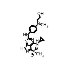 CN(CCO)c1ccc(Nc2nc(NC3CC3)c3c(S(C)(=O)=O)n[nH]c3n2)cc1